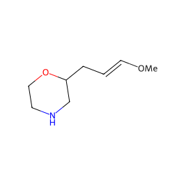 COC=CCC1CNCCO1